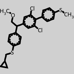 COCC(c1ccc(SCC2CC2)cc1)c1cc(Cl)c(-c2ccc(SC)cc2)c(Cl)c1